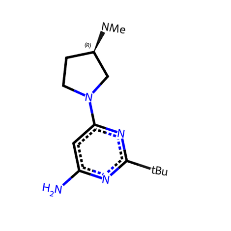 CN[C@@H]1CCN(c2cc(N)nc(C(C)(C)C)n2)C1